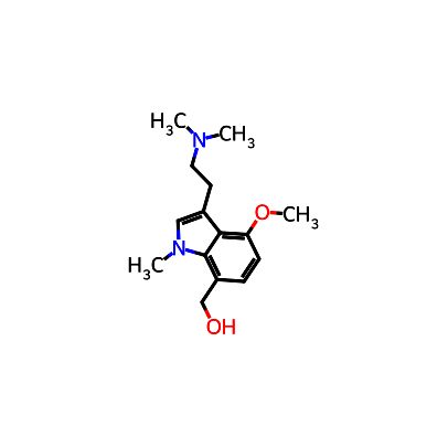 COc1ccc(CO)c2c1c(CCN(C)C)cn2C